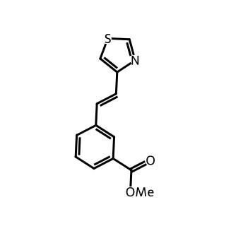 COC(=O)c1cccc(/C=C/c2cscn2)c1